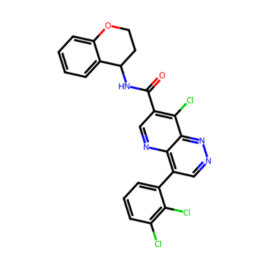 O=C(NC1CCOc2ccccc21)c1cnc2c(-c3cccc(Cl)c3Cl)cnnc2c1Cl